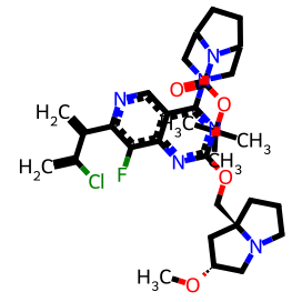 C=C(Cl)C(=C)c1ncc2c(N3CC4CCC(C3)N4C(=O)OC(C)(C)C)nc(OC[C@@]34CCCN3C[C@H](OC)C4)nc2c1F